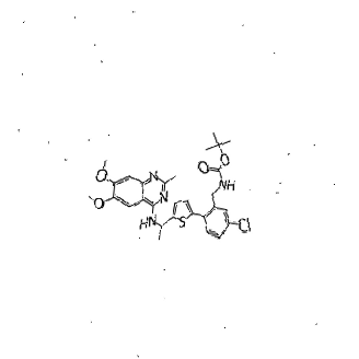 COc1cc2nc(C)nc(NC(C)c3ccc(-c4ccc(Cl)cc4CNC(=O)OC(C)(C)C)s3)c2cc1OC